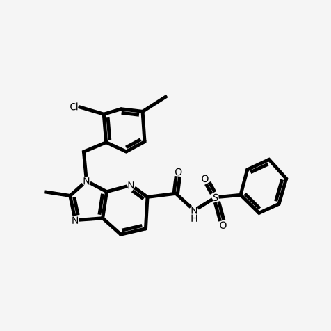 Cc1ccc(Cn2c(C)nc3ccc(C(=O)NS(=O)(=O)c4ccccc4)nc32)c(Cl)c1